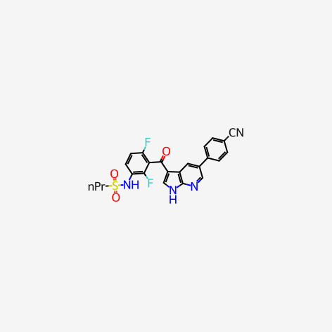 CCCS(=O)(=O)Nc1ccc(F)c(C(=O)c2c[nH]c3ncc(-c4ccc(C#N)cc4)cc23)c1F